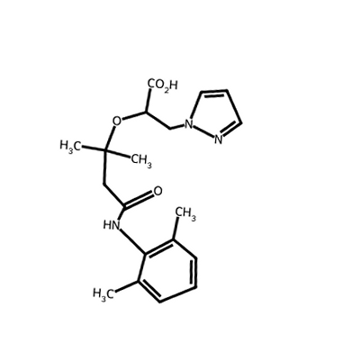 Cc1cccc(C)c1NC(=O)CC(C)(C)OC(Cn1cccn1)C(=O)O